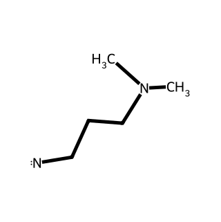 CN(C)CCC[N]